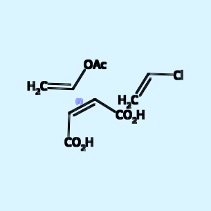 C=CCl.C=COC(C)=O.O=C(O)/C=C\C(=O)O